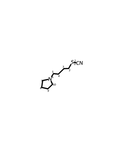 N#CSCCCCN1CCCC1